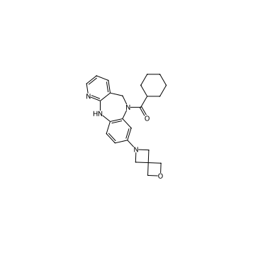 O=C(C1CCCCC1)N1Cc2cccnc2Nc2ccc(N3CC4(COC4)C3)cc21